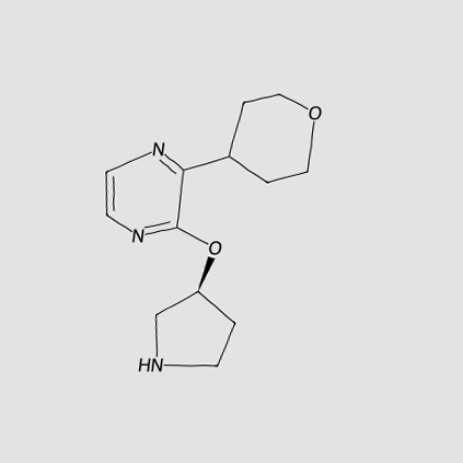 c1cnc(C2CCOCC2)c(O[C@H]2CCNC2)n1